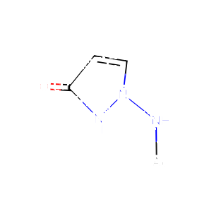 CC(=O)Nn1ccc(=O)[nH]1